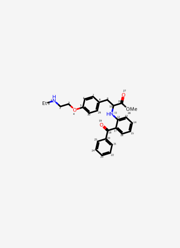 CCNCCOc1ccc(CC(Nc2ccccc2C(=O)c2ccccc2)C(=O)OC)cc1